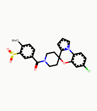 COc1ccc(C(=O)N2CCC3(CC2)Oc2cc(Cl)ccc2-n2cccc23)cc1[SH](=O)=O